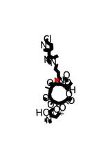 CO[C@@]1(C)C[C@@H](C)C(=O)[C@H](C)[C@H]2N(CCCCn3cnc(-c4ccc(Cl)nc4)c3C)C(=O)O[C@@]23C(C)[C@H]3OC(=O)[C@H](C)C(=O)[C@H](C)[C@H]1OC1O[C@H](C)C[C@H](N(C)C)[C@H]1O